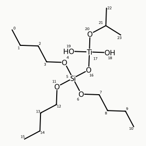 CCCCO[Si](OCCCC)(OCCCC)[O][Ti]([OH])([OH])[O]C(C)C